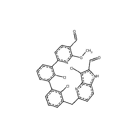 COc1nc(-c2cccc(-c3cccc(Cc4ccc5[nH]c(C=O)c(Cl)c5n4)c3Cl)c2Cl)ccc1C=O